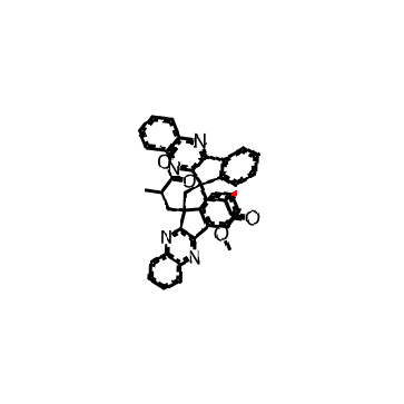 COC(=O)C(C)CC1(CC2(CC(C)C(=O)OC)c3ccccc3-c3nc4ccccc4nc32)c2ccccc2-c2nc3ccccc3nc21